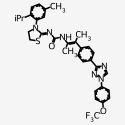 C/C(NC(=O)/N=C1\SCCN1c1cc(C)ccc1C(C)C)=C(/C)c1ccc(-c2ncn(-c3ccc(OC(F)(F)F)cc3)n2)cc1